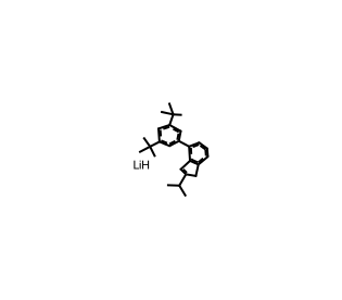 CC(C)C1=Cc2c(cccc2-c2cc(C(C)(C)C)cc(C(C)(C)C)c2)C1.[LiH]